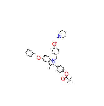 Cc1c(-c2ccc(OC(=O)C(C)(C)C)cc2)n(Cc2ccc(OCCN3CCCCC3)cc2)c2ccc(OCc3ccccc3)cc12